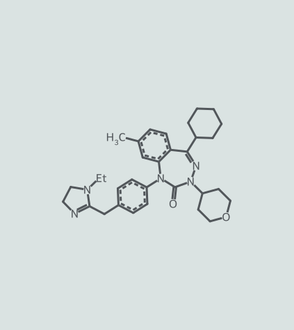 CCN1CCN=C1Cc1ccc(N2C(=O)N(C3CCOCC3)N=C(C3CCCCC3)c3ccc(C)cc32)cc1